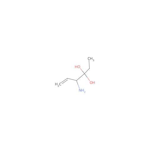 C=CC(N)C(O)(O)CC